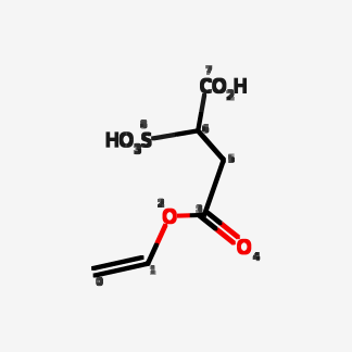 C=COC(=O)CC(C(=O)O)S(=O)(=O)O